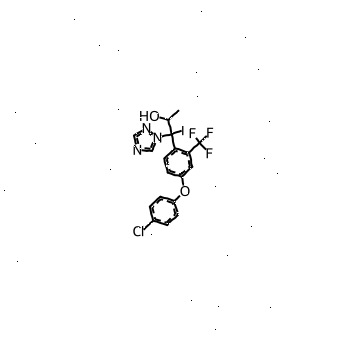 CC(O)C(I)(c1ccc(Oc2ccc(Cl)cc2)cc1C(F)(F)F)n1cncn1